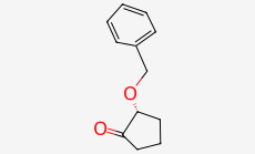 O=C1CCC[C@H]1OCc1ccccc1